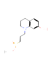 COS(=O)CCCN1CCCc2ccc(O)cc21